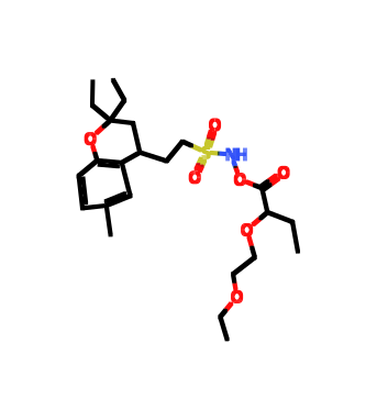 CCOCCOC(CC)C(=O)ONS(=O)(=O)CCC1CC(CC)(CC)Oc2ccc(C)cc21